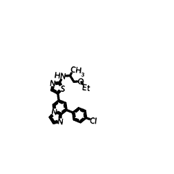 CCOCC(C)Nc1ncc(-c2cc(-c3ccc(Cl)cc3)c3nccn3c2)s1